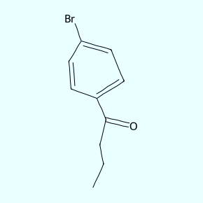 CCCC(=O)c1ccc(Br)cc1